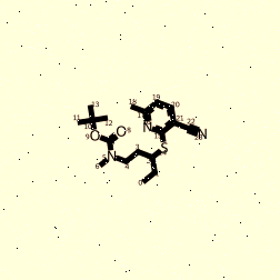 CCC(CCN(C)C(=O)OC(C)(C)C)Sc1nc(C)ccc1C#N